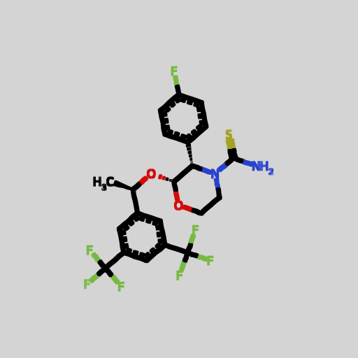 C[C@@H](O[C@H]1OCCN(C(N)=S)[C@H]1c1ccc(F)cc1)c1cc(C(F)(F)F)cc(C(F)(F)F)c1